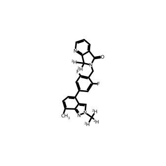 [2H]C1([2H])c2ncccc2C(=O)N1Cc1c(F)cc(-c2ccc(C)c3nn(C([2H])([2H])[2H])cc23)cc1F